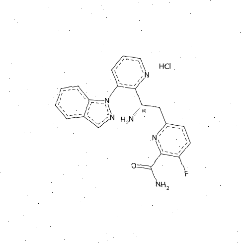 Cl.NC(=O)c1nc(C[C@H](N)c2ncccc2-n2ncc3ccccc32)ccc1F